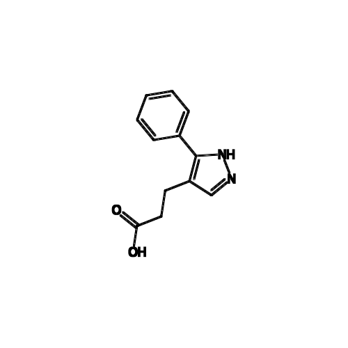 O=C(O)CCc1cn[nH]c1-c1ccccc1